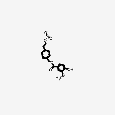 COc1cc(C(=O)OCc2ccc(CCO[N+](=O)[O-])cc2)ccc1O